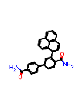 NC(=O)c1ccc(-c2ccc(C(N)=O)c(C3C=Cc4cccc5cccc3c45)c2)cc1